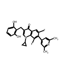 Cc1cc(-c2c(F)cc3c(=O)c(Cc4c(O)cccc4O)cn(C4CC4)c3c2F)cc(C)n1